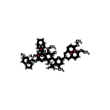 COc1ccc(CN(Cc2ccc(OC)cc2)c2cc(C)c(C(F)(F)F)c(-c3c(Cl)c(OC)c4c(N5CC6CCC(C5)N6C(=O)OC(C)(C)C)nc(OC[C@@]56CCCN5C[C@H](F)C6)nc4c3F)n2)cc1